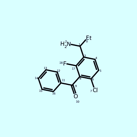 CCC(N)c1ccc(Cl)c(C(=O)c2ccccc2)c1F